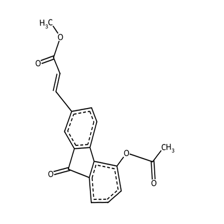 COC(=O)C=Cc1ccc2c(c1)C(=O)c1cccc(OC(C)=O)c1-2